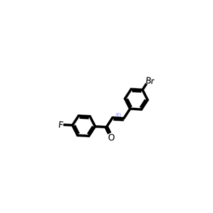 O=C(/C=C/c1ccc(Br)cc1)c1ccc(F)cc1